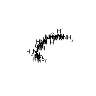 CCCNC(=O)c1nc(C(N)CCNC(=O)c2cc(Nc3nc(C(N)CCNC(=O)c4cc(Nc5nc(N)cn5C)cn4C)cn3C)cn2C)cn1C